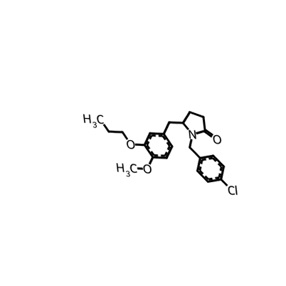 CCCOc1cc(CC2CCC(=O)N2Cc2ccc(Cl)cc2)ccc1OC